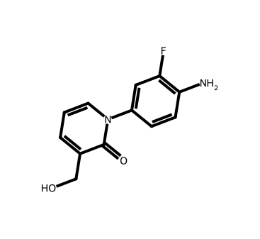 Nc1ccc(-n2cccc(CO)c2=O)cc1F